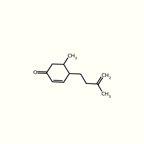 C=C(C)CCC1C=CC(=O)CC1C